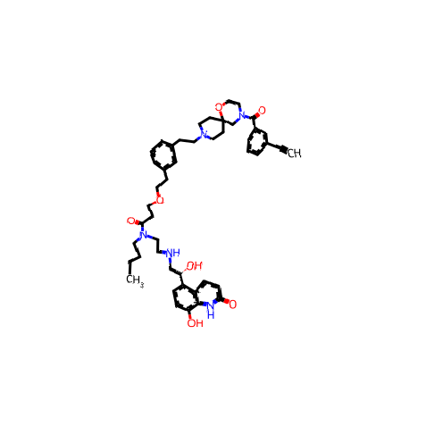 C#Cc1cccc(C(=O)N2CCOC3(CCN(CCc4cccc(CCOCCC(=O)N(CCCC)CCNC[C@H](O)c5ccc(O)c6[nH]c(=O)ccc56)c4)CC3)C2)c1